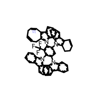 FC(F)(F)c1c(-n2c3c(c4ccccc42)/C=C\CC#CC3)c(-n2c3c(c4ccccc42)C=CCC3)cc(-n2c3ccccc3c3ccccc32)c1-n1c2ccccc2c2ccccc21